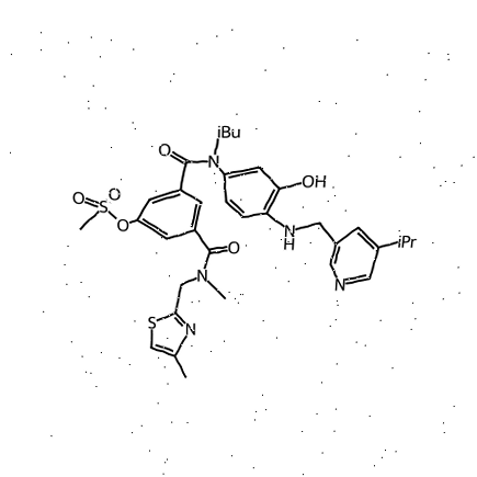 CCC(C)N(C(=O)c1cc(OS(C)(=O)=O)cc(C(=O)N(C)Cc2nc(C)cs2)c1)c1ccc(NCc2cncc(C(C)C)c2)c(O)c1